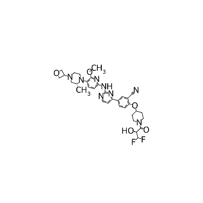 COc1nc(Nc2nccc(-c3ccc(OC4CCN(C(=O)[C@H](O)C(F)F)CC4)c(C#N)c3)n2)ccc1N1CCN(C2COC2)C[C@H]1C